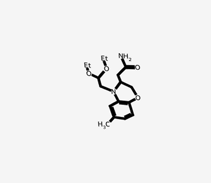 CCOC(CN1c2cc(C)ccc2OCC1CC(N)=O)OCC